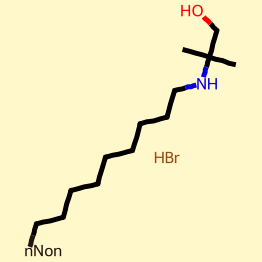 Br.CCCCCCCCCCCCCCCCCCNC(C)(C)CO